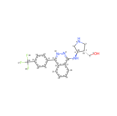 OC[C@H]1CNC[C@@H]1Nc1nnc(-c2ccc(C(F)(F)F)cc2)c2ccccc12